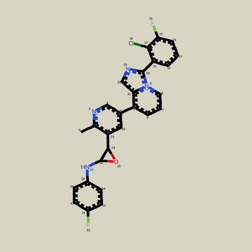 Cc1ncc(-c2cccn3c(-c4cccc(F)c4Cl)ncc23)cc1C1OC1Nc1ccc(F)cc1